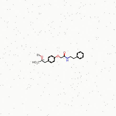 CCO[C@@H](Cc1ccc(OCC(=O)NCCc2ccccc2)cc1)C(=O)O